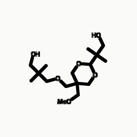 COCC1(COCC(C)(C)CO)COC(C(C)(C)CO)OC1